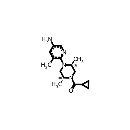 Cc1cc(N)cnc1N1C[C@@H](C)N(C(=O)C2CC2)C[C@@H]1C